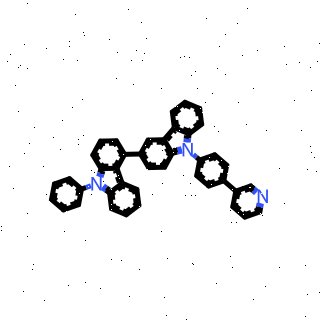 c1ccc(-n2c3ccccc3c3c(-c4ccc5c(c4)c4ccccc4n5-c4ccc(-c5cccnc5)cc4)cccc32)cc1